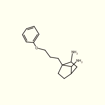 NC1CC2CCC1(CCCOc1ccccc1)C2N